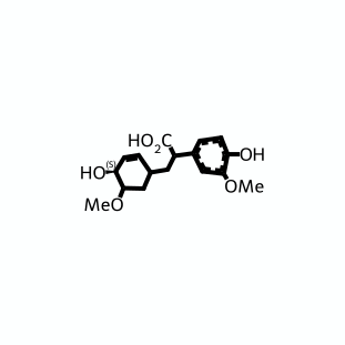 COc1cc(C(CC2C=C[C@H](O)C(OC)C2)C(=O)O)ccc1O